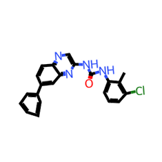 Cc1c(Cl)cccc1NC(=O)Nc1cnc2ccc(-c3ccccc3)cc2n1